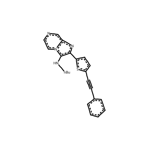 CCCCNc1c(-c2ccc(C#Cc3ccccc3)s2)nc2cnccn12